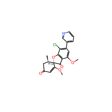 COC1=CC(=O)C[C@@H](C)[C@]12Oc1c(Cl)c(-c3cccnc3)cc(OC)c1C2=O